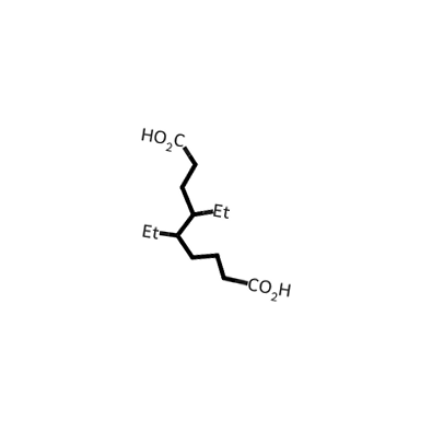 CCC(CCCC(=O)O)C(CC)CCC(=O)O